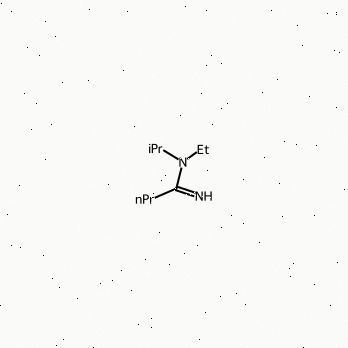 CCCC(=N)N(CC)C(C)C